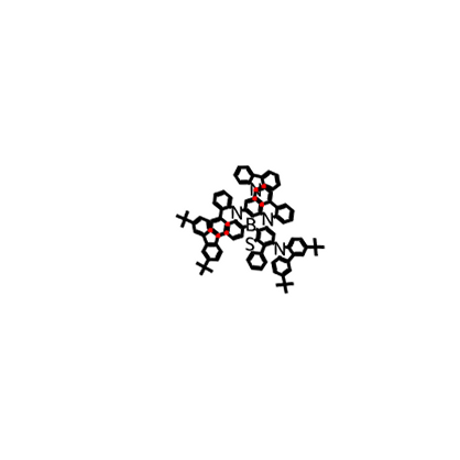 CC(C)(C)c1ccc2c(c1)-c1cc(C(C)(C)C)ccc1C2c1ccc2c(c1)N(c1ccccc1-c1ccccc1)c1cc(-n3c4ccccc4c4ccccc43)cc3c1B2c1c(cc(-n2c4ccc(C(C)(C)C)cc4c4cc(C(C)(C)C)ccc42)c2c1sc1ccccc12)N3c1ccccc1-c1ccccc1